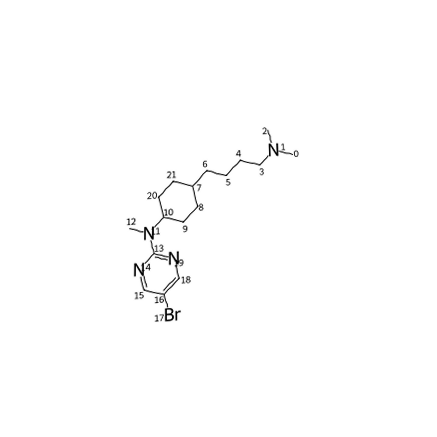 CN(C)CCCCC1CCC(N(C)c2ncc(Br)cn2)CC1